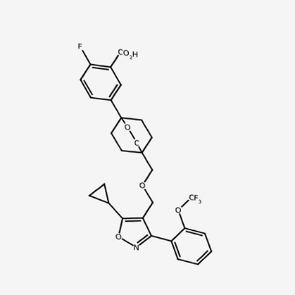 O=C(O)c1cc(C23CCC(COCc4c(-c5ccccc5OC(F)(F)F)noc4C4CC4)(CC2)CO3)ccc1F